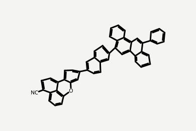 N#Cc1ccc2c3c(cccc13)Oc1cc(-c3ccc4cc(-c5cc6c7ccccc7c(-c7ccccc7)cc6c6ccccc56)ccc4c3)ccc1-2